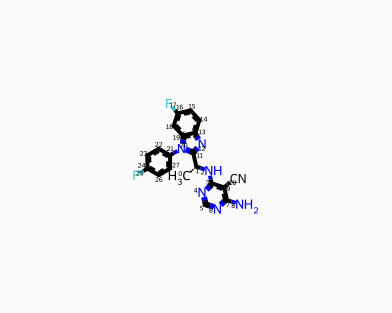 C[C@@H](Nc1ncnc(N)c1C#N)c1nc2ccc(F)cc2n1-c1ccc(F)cc1